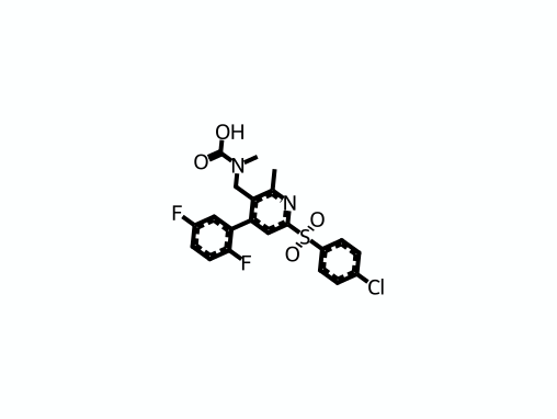 Cc1nc(S(=O)(=O)c2ccc(Cl)cc2)cc(-c2cc(F)ccc2F)c1CN(C)C(=O)O